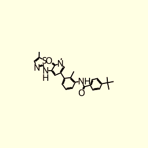 Cc1cnc(Nc2cc(-c3cccc(NC(=O)c4ccc(C(C)(C)C)cc4)c3C)cn(C)c2=O)s1